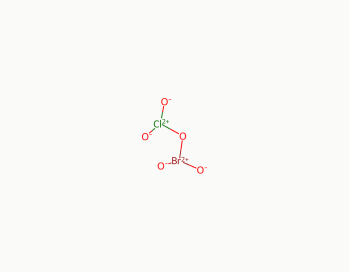 [O-][Cl+2]([O-])O[Br+2]([O-])[O-]